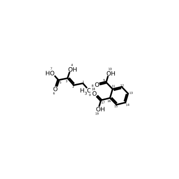 CC/C=C(\O)C(=O)O.O=C(O)c1ccccc1C(=O)O